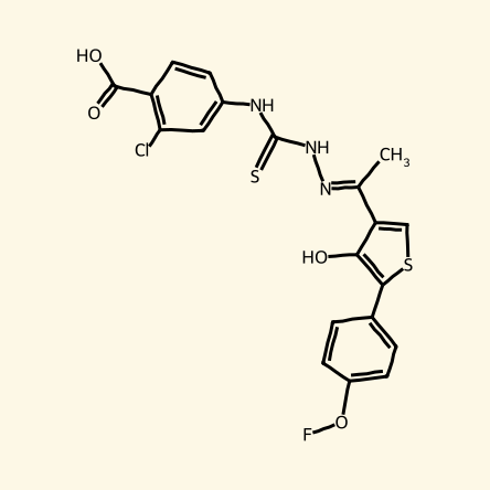 C/C(=N\NC(=S)Nc1ccc(C(=O)O)c(Cl)c1)c1csc(-c2ccc(OF)cc2)c1O